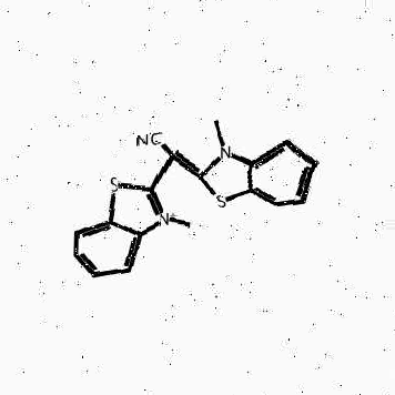 CN1/C(=C(\C#N)c2sc3ccccc3[n+]2C)Sc2ccccc21